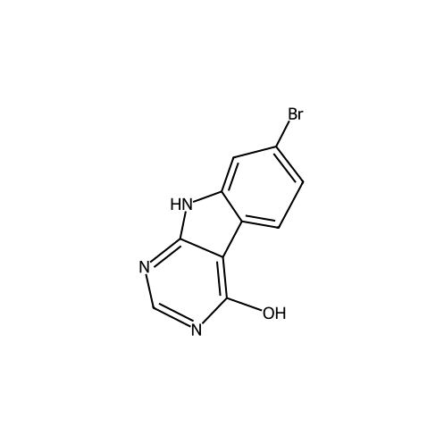 Oc1ncnc2[nH]c3cc(Br)ccc3c12